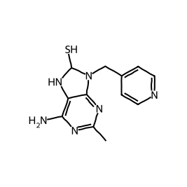 Cc1nc(N)c2c(n1)N(Cc1ccncc1)C(S)N2